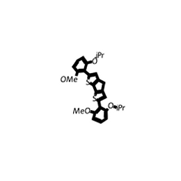 COc1cccc(OC(C)C)c1-c1cc2c(s1)-c1sc(-c3c(OC)cccc3OC(C)C)cc1C2